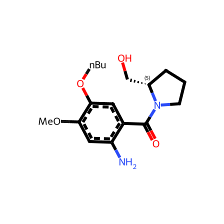 CCCCOc1cc(C(=O)N2CCC[C@H]2CO)c(N)cc1OC